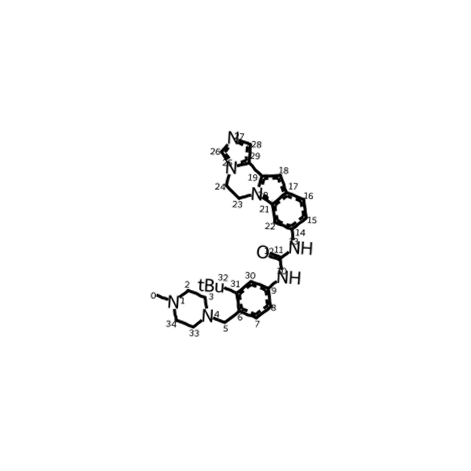 CN1CCN(Cc2ccc(NC(=O)Nc3ccc4cc5n(c4c3)CCn3cncc3-5)cc2C(C)(C)C)CC1